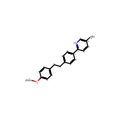 CCCCCCOc1ccc(CCc2ccc(-c3ccc(CCCC)cn3)cc2)cc1